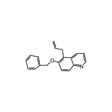 C=CCc1c(OCc2ccccc2)ccc2ncccc12